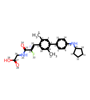 Cc1cc(-c2ccc(NC3CCCC3)cc2)c(C)cc1/C=C(\F)C(=O)NCC(=O)O